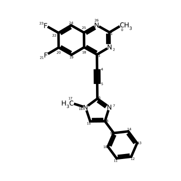 Cc1nc(C#Cc2nc(-c3ccccc3)cn2C)c2cc(F)c(F)cc2n1